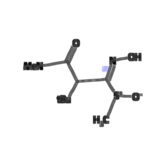 CNC(=O)C(/C(=N/O)[S+](C)[O-])C(C)(C)C